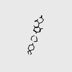 O=C1CCC(c2c(F)cc(N3CCN(C4CCC5(CC4)CNC5)CC3)cc2F)C(=O)N1